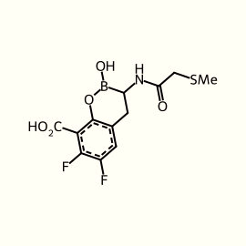 CSCC(=O)NC1Cc2cc(F)c(F)c(C(=O)O)c2OB1O